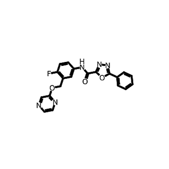 O=C(Nc1ccc(F)c(COc2cnccn2)c1)c1nnc(-c2ccccc2)o1